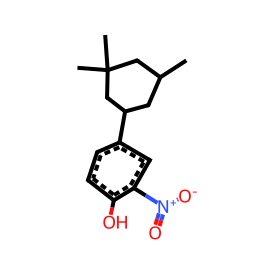 CC1CC(c2ccc(O)c([N+](=O)[O-])c2)CC(C)(C)C1